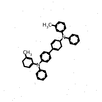 CC1=CC(N(c2ccccc2)c2ccc(C3=CCC(N(c4ccccc4)c4cccc(C)c4)C=C3)cc2)=CCC1